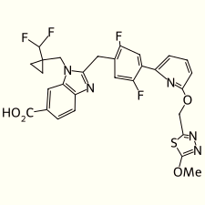 COc1nnc(COc2cccc(-c3cc(F)c(Cc4nc5ccc(C(=O)O)cc5n4CC4(C(F)F)CC4)cc3F)n2)s1